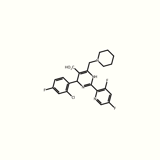 O=C(O)C1=C(CN2CCCCC2)NC(c2ncc(F)cc2F)=NC1c1ccc(F)cc1Cl